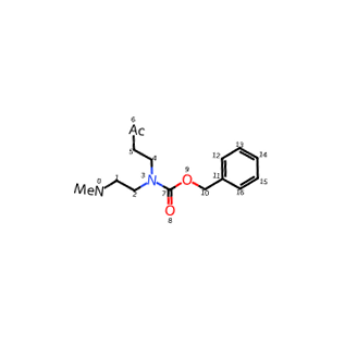 CNCCN(CCC(C)=O)C(=O)OCc1ccccc1